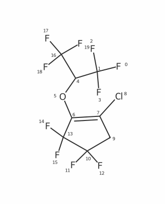 FC(F)(F)C(OC1=C(Cl)CC(F)(F)C1(F)F)C(F)(F)F